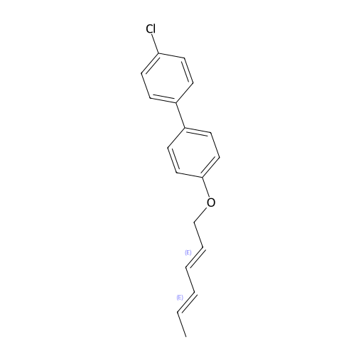 C/C=C/C=C/COc1ccc(-c2ccc(Cl)cc2)cc1